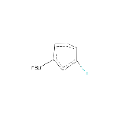 [CH]CCCc1cccc(F)c1